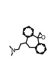 CN(C)CCC1Cc2ccccc2C2(CO2)c2ccccc21